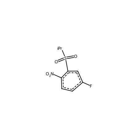 CC(C)S(=O)(=O)c1cc(F)ccc1[N+](=O)[O-]